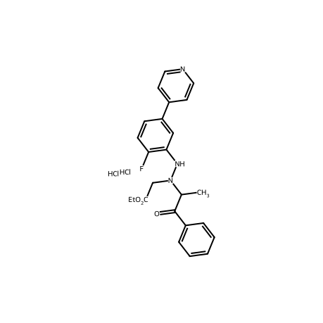 CCOC(=O)CN(Nc1cc(-c2ccncc2)ccc1F)C(C)C(=O)c1ccccc1.Cl.Cl